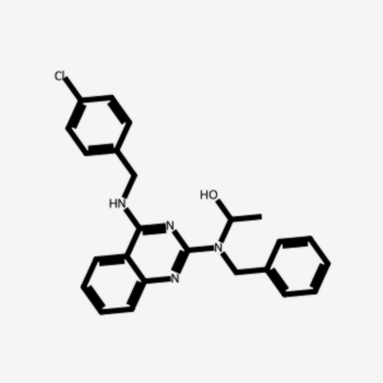 CC(O)N(Cc1ccccc1)c1nc(NCc2ccc(Cl)cc2)c2ccccc2n1